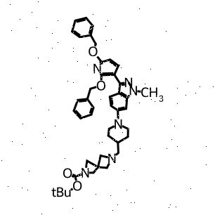 Cn1nc(-c2ccc(OCc3ccccc3)nc2OCc2ccccc2)c2ccc(N3CCC(CN4CC5(C4)CN(C(=O)OC(C)(C)C)C5)CC3)cc21